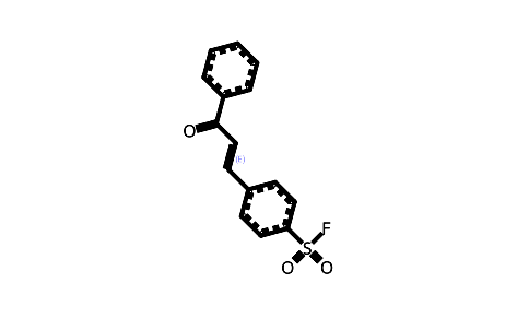 O=C(/C=C/c1ccc(S(=O)(=O)F)cc1)c1ccccc1